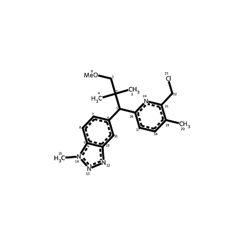 COCC(C)(C)C(c1ccc2c(c1)nnn2C)c1ccc(C)c(CCl)n1